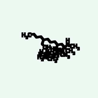 CCCCC(CO)CCCC(CC(C)(NC)NC)NC.CN.CN.CN